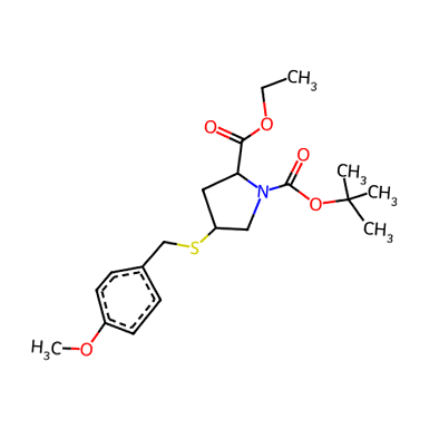 CCOC(=O)C1CC(SCc2ccc(OC)cc2)CN1C(=O)OC(C)(C)C